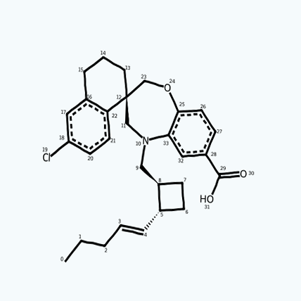 CCC/C=C/[C@H]1CC[C@@H]1CN1C[C@@]2(CCCc3cc(Cl)ccc32)COc2ccc(C(=O)O)cc21